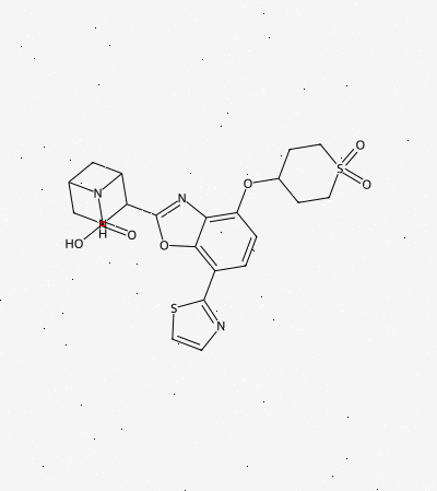 O=C(O)N1C2CNC(c3nc4c(OC5CCS(=O)(=O)CC5)ccc(-c5nccs5)c4o3)C1C2